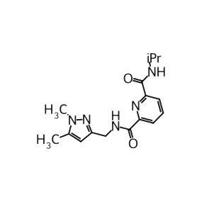 Cc1cc(CNC(=O)c2cccc(C(=O)NC(C)C)n2)nn1C